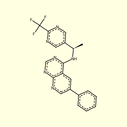 C[C@@H](Nc1ncnc2ncc(-c3ccccc3)cc12)c1cnc(C(F)(F)F)nc1